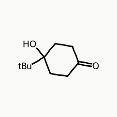 CC(C)(C)C1(O)CCC(=O)CC1